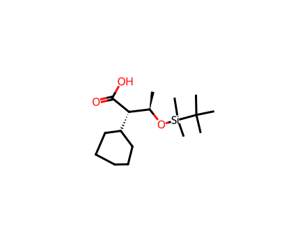 C[C@@H](O[Si](C)(C)C(C)(C)C)[C@@H](C(=O)O)C1CCCCC1